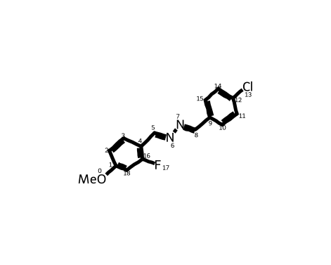 COc1ccc(C=NN=Cc2ccc(Cl)cc2)c(F)c1